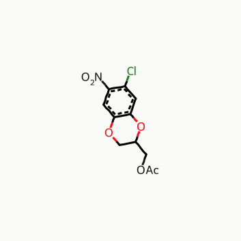 CC(=O)OCC1COc2cc([N+](=O)[O-])c(Cl)cc2O1